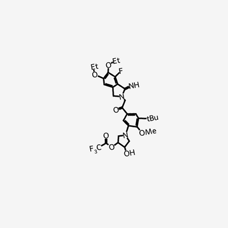 CCOc1cc2c(c(F)c1OCC)C(=N)N(CC(=O)c1cc(N3CC(O)C(OC(=O)C(F)(F)F)C3)c(OC)c(C(C)(C)C)c1)C2